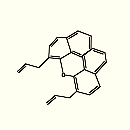 C=CCc1ccc2ccccc2c1Oc1c(CC=C)ccc2ccccc12